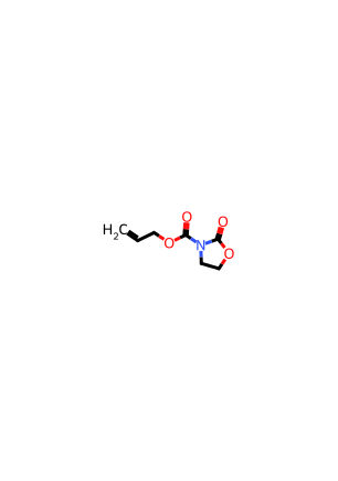 C=CCOC(=O)N1CCOC1=O